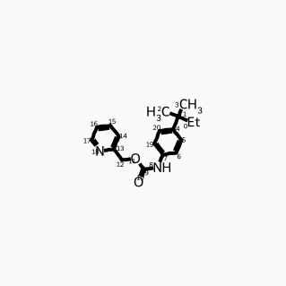 CCC(C)(C)c1ccc(NC(=O)OCc2ccccn2)cc1